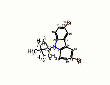 CC(C)(C)[Si](C)(C)n1c2ccc(Br)cc2c2cc(Br)ccc21